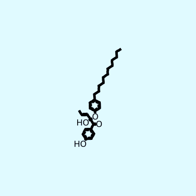 CC=CC(O)(Oc1ccc(CCCCCCCCCCCC)cc1)C(=O)c1ccc(O)cc1